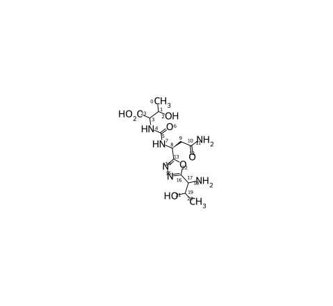 CC(O)C(NC(=O)N[C@@H](CC(N)=O)c1nnc(C(N)C(C)O)o1)C(=O)O